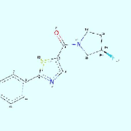 O=C(c1cnc(-c2ccccc2)s1)N1CC[C@@H](F)C1